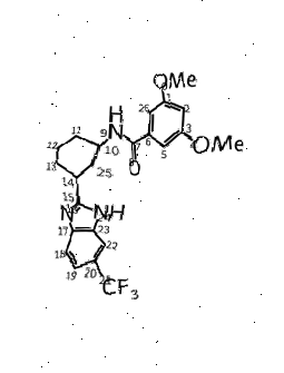 COc1cc(OC)cc(C(=O)NC2CCC[C@H](c3nc4ccc(C(F)(F)F)cc4[nH]3)C2)c1